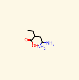 CCC(CC(N)N)C(=O)O